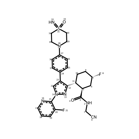 N#CCNC(=O)[C@@H]1C[C@@H](F)CC[C@H]1c1nn(-c2ncccc2F)cc1-c1ccc(N2CCS(=N)(=O)CC2)cc1